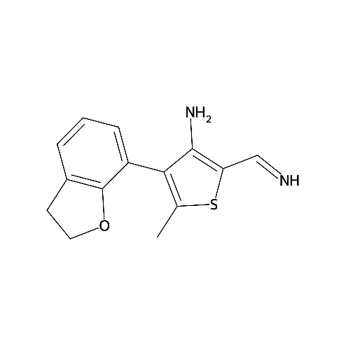 Cc1sc(C=N)c(N)c1-c1cccc2c1OCC2